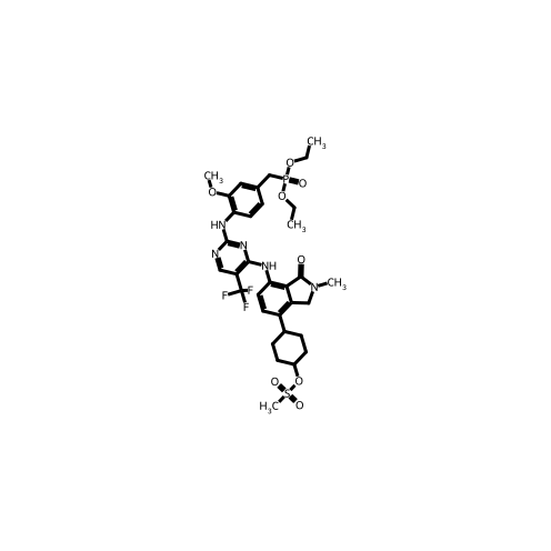 CCOP(=O)(Cc1ccc(Nc2ncc(C(F)(F)F)c(Nc3ccc(C4CCC(OS(C)(=O)=O)CC4)c4c3C(=O)N(C)C4)n2)c(OC)c1)OCC